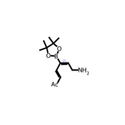 CC(=O)C=C/C(=C\CN)B1OC(C)(C)C(C)(C)O1